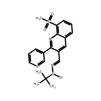 CC(C)(C)[S+]([O-])/N=C/c1cc2cccc(S(C)(=O)=O)c2nc1-c1cccnc1